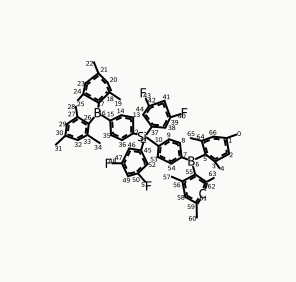 Cc1cc(C)c(B(c2ccc([Si](c3ccc(B(c4c(C)cc(C)cc4C)c4c(C)cc(C)cc4C)cc3)(c3cc(F)cc(F)c3)c3cc(F)cc(F)c3)cc2)c2c(C)cc(C)cc2C)c(C)c1